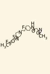 Cc1cnc(CC(=O)NC2CCC(F)(CCN3CCc4nc(OCC(C)(F)F)sc4CC3)CC2)o1